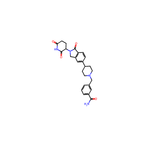 NC(=O)c1cccc(CN2CCC(c3ccc4c(c3)CN(C3CCC(=O)NC3=O)C4=O)CC2)c1